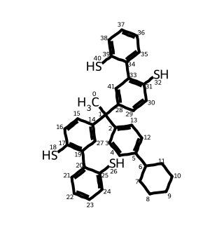 CC(c1ccc(C2CCCCC2)cc1)(c1ccc(S)c(-c2ccccc2S)c1)c1ccc(S)c(-c2ccccc2S)c1